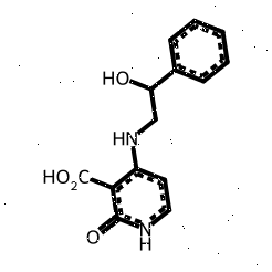 O=C(O)c1c(NCC(O)c2ccccc2)cc[nH]c1=O